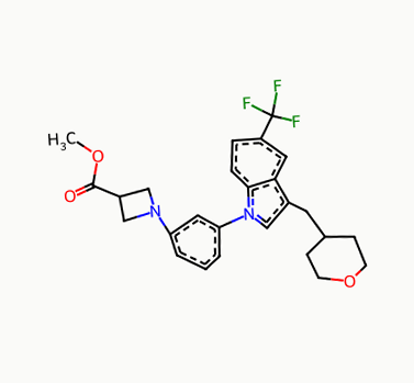 COC(=O)C1CN(c2cccc(-n3cc(CC4CCOCC4)c4cc(C(F)(F)F)ccc43)c2)C1